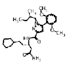 CCC(C)Cn1nc(C(=O)N[C@@H](CCC2CCCCC2)CC(N)=O)cc1-c1c(OC)cccc1OC